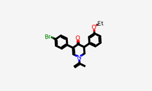 C=C(C)N1C=C(c2ccc(Br)cc2)C(=O)C(c2cccc(OCC)c2)C1